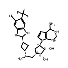 CN(C[C@H]1C[C@@H](n2ccc3c2NCNC3N)[C@H](O)[C@@H]1O)[C@H]1C[C@H](C2Nc3cc(Cl)c(C(F)(F)F)cc3N2)C1